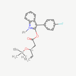 C=C[C@H](CC(=O)Oc1c(-c2ccc(F)cc2)c2ccccc2n1C(C)C)O[Si](C)(C)C(C)(C)C